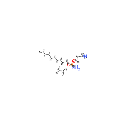 CC(C)C(C)C.CCCCCCCCCCOP(N)OCCC#N